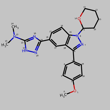 COc1ccc(-c2nn(C3CCCCO3)c3ccc(-c4n[nH]c(N(C)C)n4)cc23)cc1